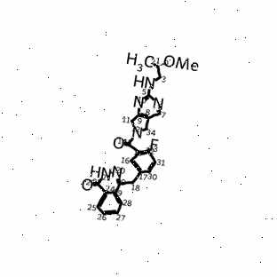 CO[C@@H](C)CNc1ncc2c(n1)CN(C(=O)c1cc(Cc3n[nH]c(=O)c4ccccc34)ccc1F)C2